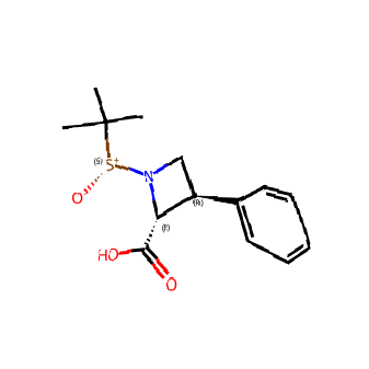 CC(C)(C)[S@@+]([O-])N1C[C@@H](c2ccccc2)[C@@H]1C(=O)O